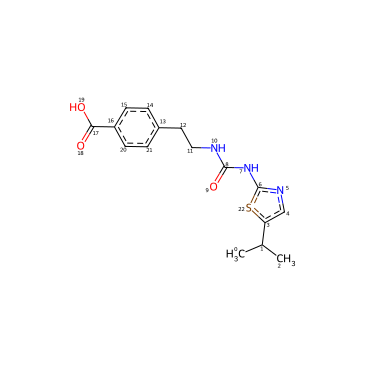 CC(C)c1cnc(NC(=O)NCCc2ccc(C(=O)O)cc2)s1